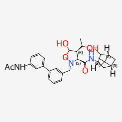 CC(=O)Nc1cccc(-c2cccc(CN3OC(O)[C@@H](C(C)O)[C@H]3C(=O)N[C@H]3C[C@H]4C[C@@H](C3C)C4(C)C)c2)c1